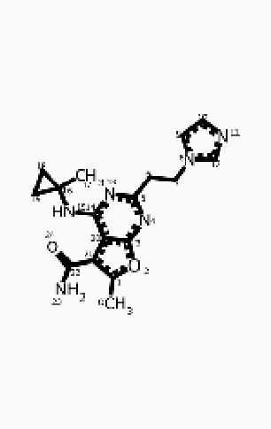 Cc1oc2nc(CCn3ccnc3)nc(NC3(C)CC3)c2c1C(N)=O